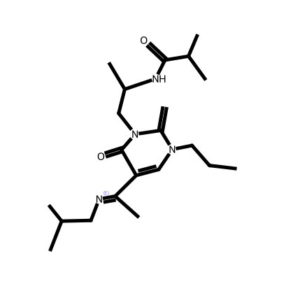 C=C1N(CCC)C=C(/C(C)=N/CC(C)C)C(=O)N1CC(C)NC(=O)C(C)C